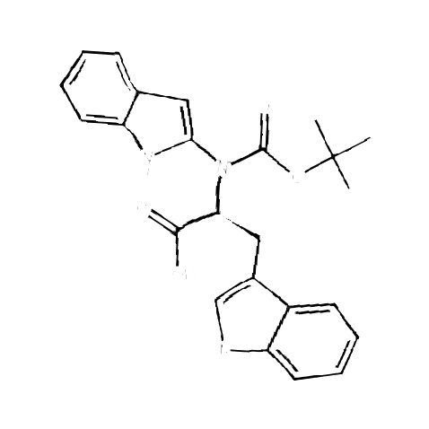 CC(C)(C)OC(=O)N(c1cc2ccccc2[nH]1)[C@@H](Cc1c[nH]c2ccccc12)C(=O)O